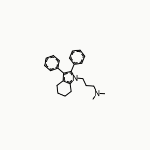 CN(C)CCCn1c2c(c(-c3ccccc3)c1-c1ccccc1)CCCC2